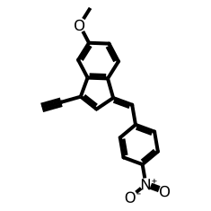 C#CC1=CC(=Cc2ccc([N+](=O)[O-])cc2)c2ccc(OC)cc21